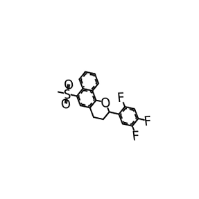 CS(=O)(=O)c1cc2c(c3ccccc13)OC(c1cc(F)c(F)cc1F)CC2